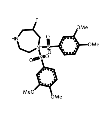 COc1ccc(S(=O)(=O)[N+]2(S(=O)(=O)c3ccc(OC)c(OC)c3)CCNCC(F)C2)cc1OC